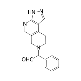 O=CC(c1ccccc1)N1CCc2c(cnc3[nH]ncc23)C1